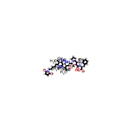 CC[C@H](C)[C@@H](C(NC)[C@@H](C(C)C)C(N)[C@H](C(C)C)C(CCCCCN1C(=O)C=CC1=O)NC)[C@@H](CC(=O)N1CCC[C@H]1[C@H](OC)[C@@H](C)C(=O)N[C@@H](Cc1ccccc1)C(=O)O)OC